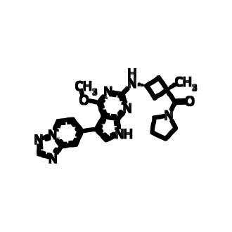 COc1nc(N[C@H]2C[C@@](C)(C(=O)N3CCCC3)C2)nc2[nH]cc(-c3ccn4ncnc4c3)c12